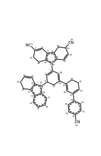 N#CC1=Cc2c3c(n(C4=CC(n5c6c(c7ccccc75)CCC=C6)CC(C5=CC(c6ccc(C#N)cc6)=CCC5)=C4)c2CC1)C=CC(C#N)C3